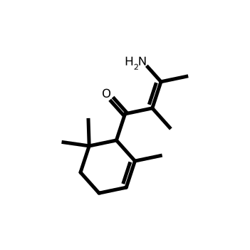 CC1=CCCC(C)(C)C1C(=O)C(C)=C(C)N